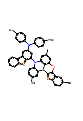 Cc1cc2c3c(c1)N(c1cc(N(c4ccc(C(C)(C)C)cc4)c4ccc(C(C)(C)C)cc4)cc4c1sc1ccccc14)c1ccc(C(C)(C)C)cc1B3c1sc3ccc(C(C)(C)C)cc3c1O2